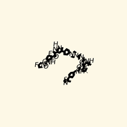 Cc1ncsc1-c1ccc(CNC(=O)[C@@H]2C[C@@H](C)CN2C(=O)[C@@H](NC(=O)CN2CC(N3CCN(c4ccc(-c5cnc6[nH]cc(C(=O)c7c(F)ccc(NS(=O)(=O)N8CC[C@@H](F)C8)c7F)c6c5)cc4)CC3)C2)C(C)(C)C)cc1